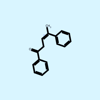 C/C(=C/CC(=O)c1ccccc1)c1ccccc1